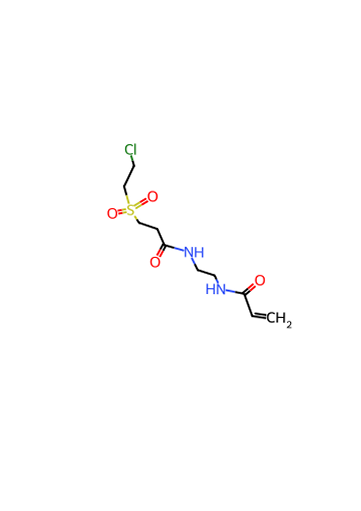 C=CC(=O)NCCNC(=O)CCS(=O)(=O)CCCl